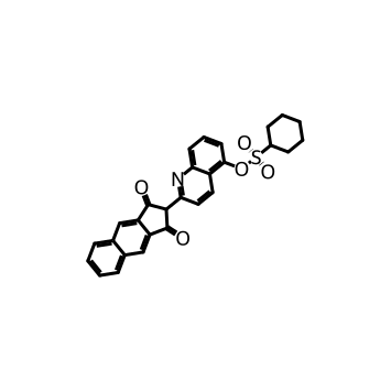 O=C1c2cc3ccccc3cc2C(=O)C1c1ccc2c(OS(=O)(=O)C3CCCCC3)cccc2n1